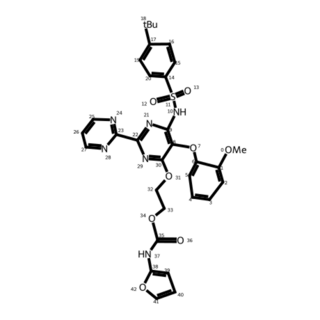 COc1ccccc1Oc1c(NS(=O)(=O)c2ccc(C(C)(C)C)cc2)nc(-c2ncccn2)nc1OCCOC(=O)Nc1ccco1